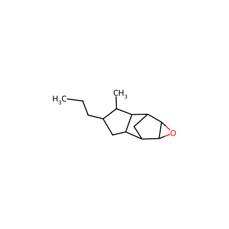 CCCC1CC2C3CC(C4OC34)C2C1C